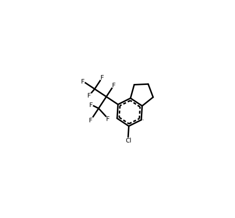 FC(F)(F)C(F)(c1cc(Cl)[c]c2c1CCC2)C(F)(F)F